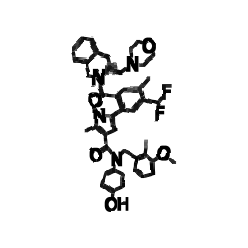 COc1cccc(CN(C(=O)c2cc(-c3cc(C(F)F)c(C)cc3C(=O)N3Cc4ccccc4C[C@H]3CN3CCOCC3)n(C)c2C)c2ccc(O)cc2)c1C